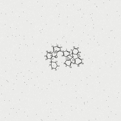 c1ccc(C2(c3ccc(-c4cccc5c4oc4c(C6CCCCC6)cccc45)cc3)c3ccccc3-c3ccccc32)cc1